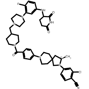 C[C@@H]1CC2(CCN(c3ccc(C(=O)N4CCC(CN5CCN(c6cc(NC7CCC(=O)NC7=O)ccc6F)CC5)CC4)cc3)CC2)CN1c1ccc(C#N)c(Cl)c1